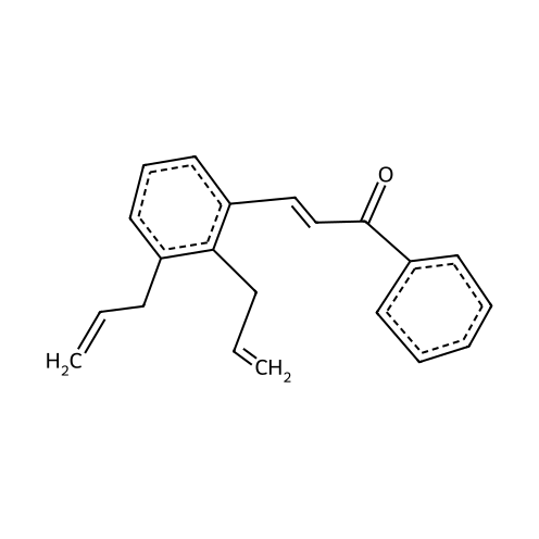 C=CCc1cccc(C=CC(=O)c2ccccc2)c1CC=C